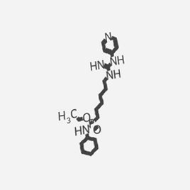 CCOP(=O)(CCCCCCNC(=N)Nc1ccncc1)NC1CCCCC1